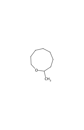 CC1CCCCCCCO1